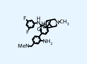 CNCc1ccc(-c2ccc(C3(O)C4CN(C)CC3CN(C(=O)Nc3cc(F)cc(F)c3)C4)nc2)c(N)c1